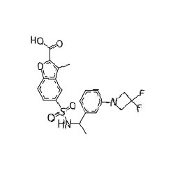 Cc1c(C(=O)O)oc2ccc(S(=O)(=O)NC(C)c3cccc(N4CC(F)(F)C4)c3)cc12